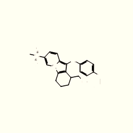 CS(=O)(=O)c1ccc2c(Sc3ccc(Cl)cc3)c3c(n2c1)CCCC3CC(=O)O